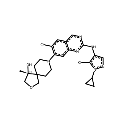 C[C@]1(O)COCC12CCN(c1cc3nc(Nc4cnn(C5CC5)c4Cl)ncc3cc1Cl)CC2